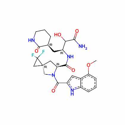 COc1cccc2[nH]c(C(=O)N3C[C@]4(C[C@H]3C(=O)N[C@@H](C[C@@H]3CCCNC3=O)C(O)C(N)=O)CC4(F)F)cc12